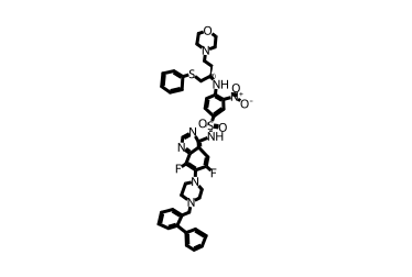 O=[N+]([O-])c1cc(S(=O)(=O)Nc2ncnc3c(F)c(N4CCN(Cc5ccccc5-c5ccccc5)CC4)c(F)cc23)ccc1N[C@H](CCN1CCOCC1)CSc1ccccc1